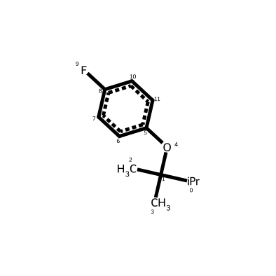 CC(C)C(C)(C)Oc1ccc(F)cc1